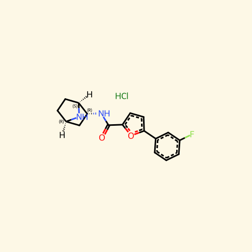 Cl.O=C(N[C@@H]1C[C@H]2CC[C@@H]1N2)c1ccc(-c2cccc(F)c2)o1